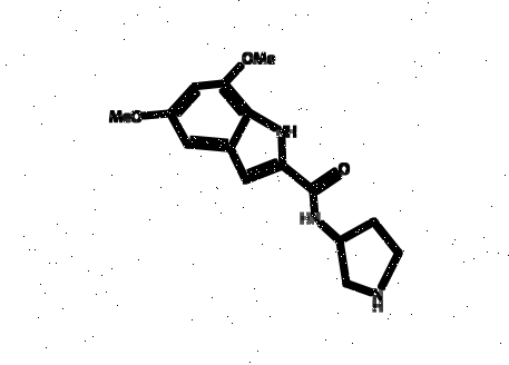 COc1cc(OC)c2[nH]c(C(=O)NC3CCNC3)cc2c1